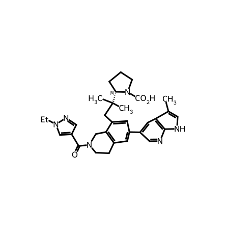 CCn1cc(C(=O)N2CCc3cc(-c4cnc5[nH]cc(C)c5c4)cc(CC(C)(C)[C@@H]4CCCN4C(=O)O)c3C2)cn1